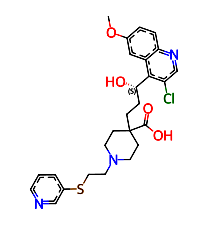 COc1ccc2ncc(Cl)c([C@@H](O)CCC3(C(=O)O)CCN(CCSc4cccnc4)CC3)c2c1